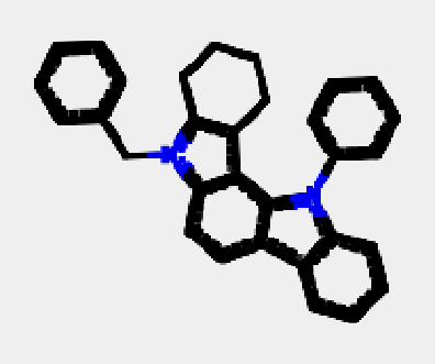 c1ccc(Cn2c3c(c4c2ccc2c5ccccc5n(-c5ccccc5)c24)CCCC3)cc1